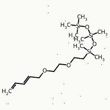 C=CC=CCOCCOCC[Si](C)(C)O[Si](C)(C)O[Si](C)(C)C